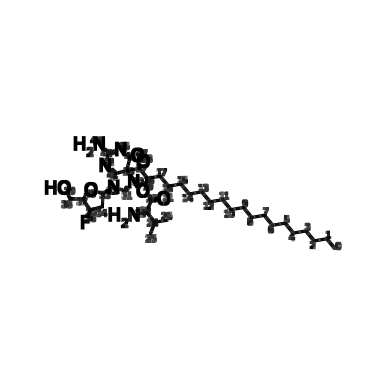 CCCCCCCCCCCCCCCCCCC(OC(=O)[C@@H](N)C(C)C)C(=O)C12N=CN([C@H]3CC(F)[C@@H](CO)O3)C1=NC(N)=NC2=O